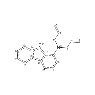 C=CCN(CC=C)c1cccc2c1[nH]c1ccccc12